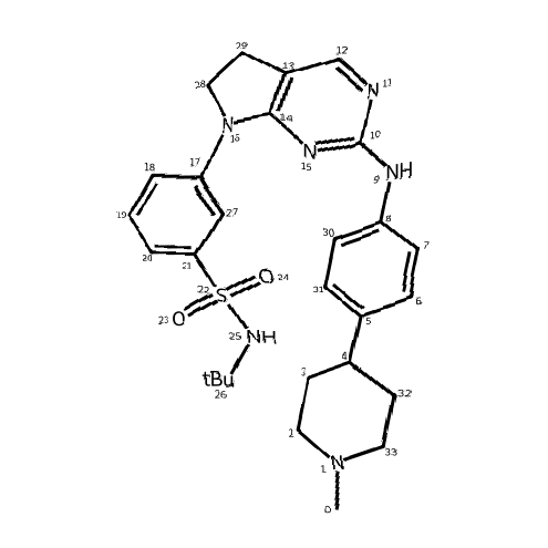 CN1CCC(c2ccc(Nc3ncc4c(n3)N(c3cccc(S(=O)(=O)NC(C)(C)C)c3)CC4)cc2)CC1